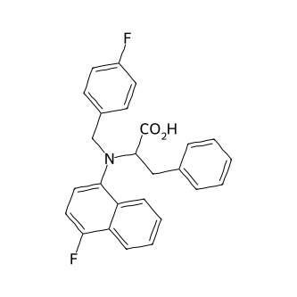 O=C(O)C(Cc1ccccc1)N(Cc1ccc(F)cc1)c1ccc(F)c2ccccc12